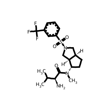 CC(C)[C@H](N)C(=O)N(C)[C@H]1CC[C@@H]2CN(S(=O)(=O)c3cccc(C(F)(F)F)c3)C[C@@H]21